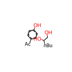 CC(=O)c1ccc(O)cc1.CCCCC(O)CO